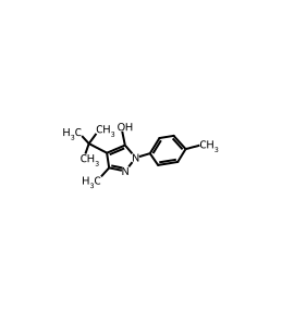 Cc1ccc(-n2nc(C)c(C(C)(C)C)c2O)cc1